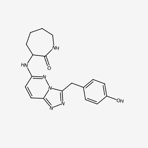 O=C1NCCCCC1Nc1ccc2nnc(Cc3ccc(O)cc3)n2n1